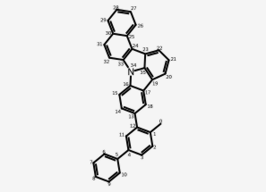 Cc1ccc(-c2ccccc2)cc1-c1ccc2c(c1)c1cccc3c4c5ccccc5ccc4n2c13